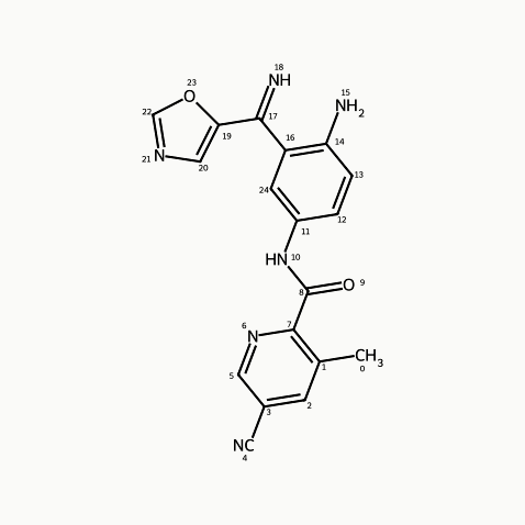 Cc1cc(C#N)cnc1C(=O)Nc1ccc(N)c(C(=N)c2cnco2)c1